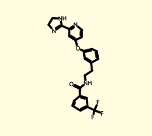 O=C(NCCc1cccc(Oc2ccnc(C3=NCCN3)c2)c1)c1cccc(C(F)(F)F)c1